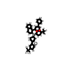 CC(C)(C)c1ccc(N(c2ccc3c(c2)oc2ccc(C(C)(C)C)cc23)c2ccc3ccccc3c2-c2cccc(-c3ccccc3)c2)cc1